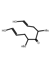 CCCCC(CC=CO)C(=O)C(CC=CO)CCCC